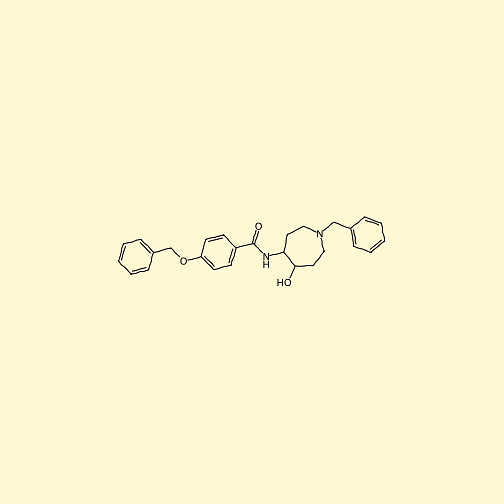 O=C(NC1CCN(Cc2ccccc2)CCC1O)c1ccc(OCc2ccccc2)cc1